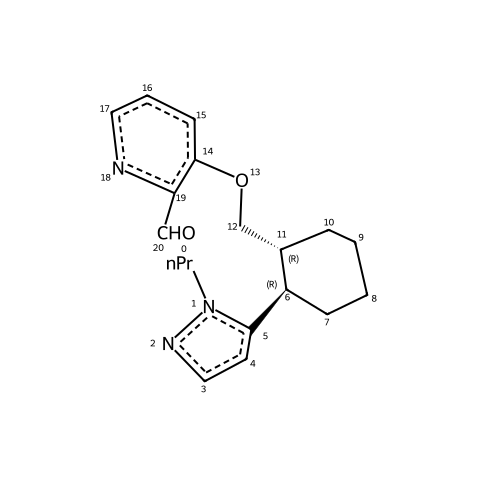 CCCn1nccc1[C@@H]1CCCC[C@H]1COc1cccnc1C=O